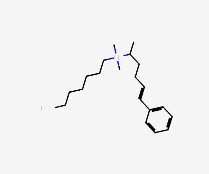 CCCCCCCCCCCCCCCC[N+](C)(C)C(C)CCC=Cc1ccccc1